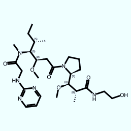 CC[C@H](C)[C@@H]([C@@H](CC(=O)N1CCC[C@H]1[C@H](OC)[C@@H](C)C(=O)NCCO)OC)N(C)C(=O)CNc1ncccn1